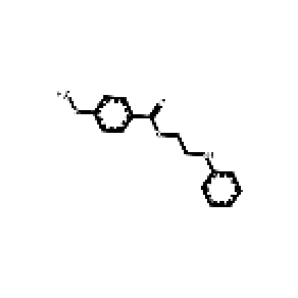 COc1ccc(C(=O)OCCNc2ccccc2)cc1